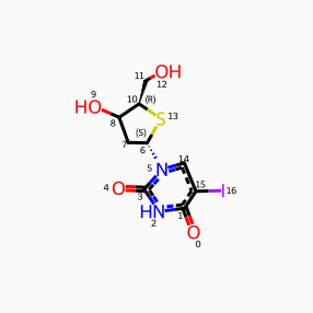 O=c1[nH]c(=O)n([C@@H]2CC(O)[C@@H](CO)S2)cc1I